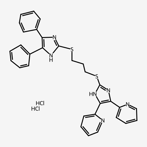 Cl.Cl.c1ccc(-c2nc(SCCCSc3nc(-c4ccccn4)c(-c4ccccn4)[nH]3)[nH]c2-c2ccccc2)cc1